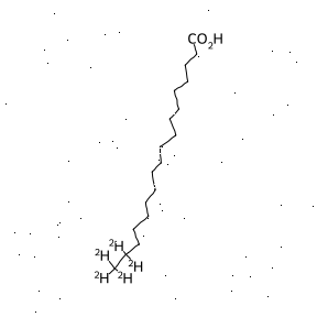 [2H]C([2H])([2H])C([2H])([2H])CCCCCCCCCCCCCCCC(=O)O